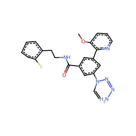 C=CN(/N=N\N)c1cc(C(=O)NCCc2ccccc2F)cc(-c2ncccc2OC)c1